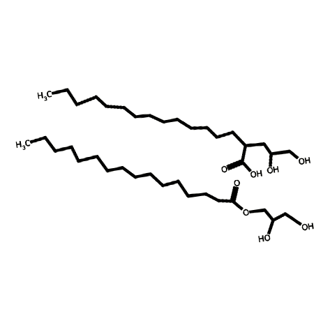 CCCCCCCCCCCCCCC(CC(O)CO)C(=O)O.CCCCCCCCCCCCCCCC(=O)OCC(O)CO